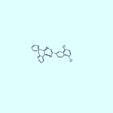 Clc1ccc(Cl)c2cc(-c3cnc4c5ccccc5c5ccccc5c4n3)ccc12